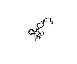 CCN1CCC(N(C(=O)C(F)(F)F)c2ccccc2)CC1